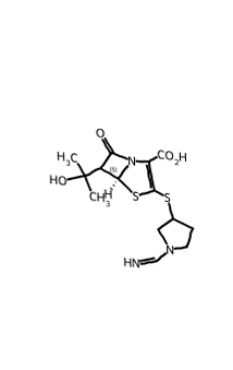 CC(C)(O)C1C(=O)N2C(C(=O)O)=C(SC3CCN(C=N)C3)S[C@@H]12